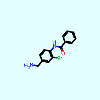 NCc1ccc(NC(=O)c2ccccc2)c(Br)c1